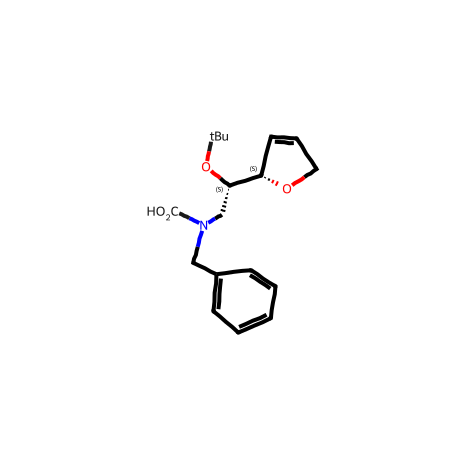 CC(C)(C)O[C@@H](CN(Cc1ccccc1)C(=O)O)[C@@H]1C=CCO1